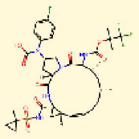 C[C@@H]1CC/C=C\[C@@H]2C[C@@]2(C(=O)NS(=O)(=O)C2(C)CC2)NC(=O)[C@@H]2C[C@@H](N(C(=O)O)c3ccc(F)cc3)CN2C(=O)[C@@H](NC(=O)OC(C)(C)C(F)(F)F)[C@H](C)C1